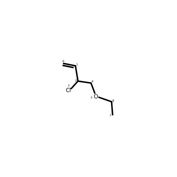 C=CC(Cl)CO[CH]C